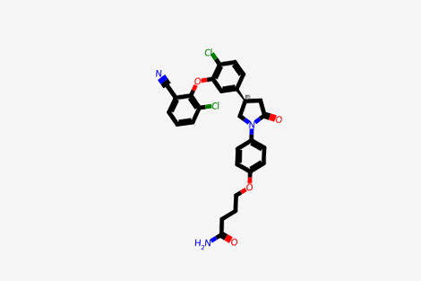 N#Cc1cccc(Cl)c1Oc1cc([C@H]2CC(=O)N(c3ccc(OCCCC(N)=O)cc3)C2)ccc1Cl